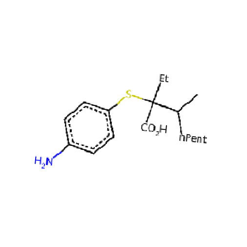 CCCCCC(C)C(CC)(Sc1ccc(N)cc1)C(=O)O